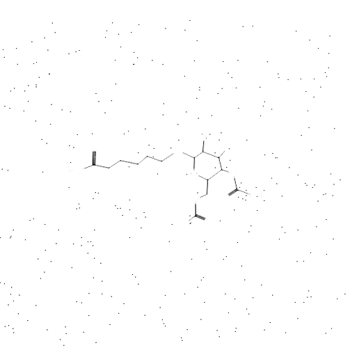 CC(=O)OCC1OC(OCCCCCC(=O)O)C(N)C(O)C1OC(C)=O